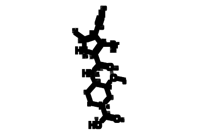 CO[C@H]1CN(C(=O)O)CC[C@H]1NC(=O)c1[nH]c(C)c(C#N)c1Br